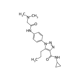 CCCc1c(C(=O)NC2CC2)nnn1-c1ccc(NC(=O)CN(C)C)cc1